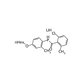 CCCCCCOc1ccc(PC(=O)c2c(C)cccc2Cl)c(C)c1.[LiH]